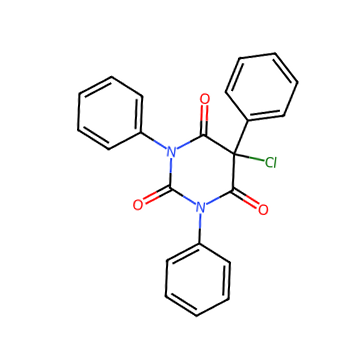 O=C1N(c2ccccc2)C(=O)C(Cl)(c2ccccc2)C(=O)N1c1ccccc1